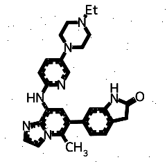 CCN1CCN(c2ccc(Nc3cc(-c4ccc5c(c4)NC(=O)C5)c(C)n4ccnc34)nc2)CC1